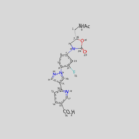 CC(=O)NC[C@H]1CN(c2ccc(-n3cc(-c4ccc(C(=O)O)cn4)cn3)c(F)c2)C(=O)O1